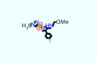 COCCNCC1CN(S(=O)(=O)c2cn(C)cn2)CC1c1ccc(F)cc1